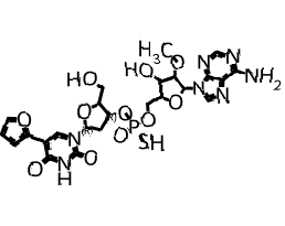 COC1C(O)C(COP(=O)(S)O[C@@H]2C[C@H](n3cc(-c4ccco4)c(=O)[nH]c3=O)OC2CO)OC1n1cnc2c(N)ncnc21